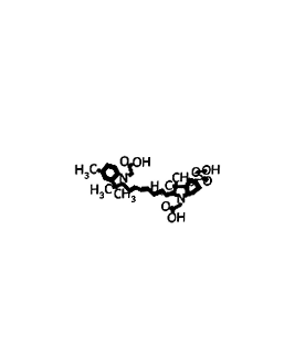 Cc1ccc2c(c1)C(C)(C)C(/C=C/C=C/C=C/C=C1/N(CC(=O)O)c3ccc(S(=O)(=O)O)cc3C1(C)C)=[N+]2CC(=O)O